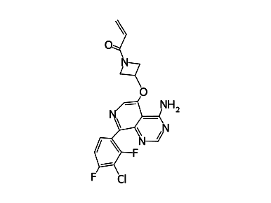 C=CC(=O)N1CC(Oc2cnc(-c3ccc(F)c(Cl)c3F)c3ncnc(N)c23)C1